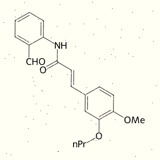 CCCOc1cc(/C=C/C(=O)Nc2ccccc2C=O)ccc1OC